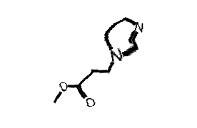 COC(=O)CCN1C=NCC1